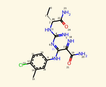 CC[C@@H](NC(=N)/N=C(/Nc1ccc(Cl)c(C)c1)C(=N)C(N)=O)C(N)=O